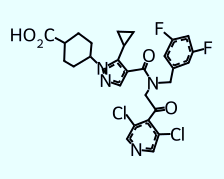 O=C(CN(Cc1cc(F)cc(F)c1)C(=O)c1cnn(C2CCC(C(=O)O)CC2)c1C1CC1)c1c(Cl)cncc1Cl